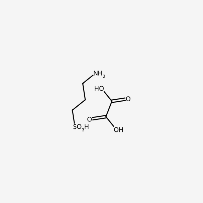 NCCCS(=O)(=O)O.O=C(O)C(=O)O